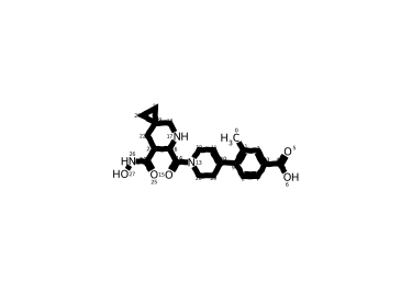 Cc1cc(C(=O)O)ccc1C1=CCN(C(=O)C2NCC3(CC3)CC2C(=O)NO)CC1